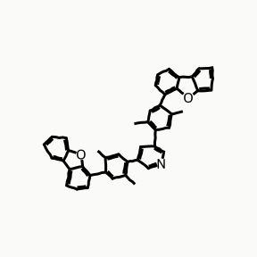 Cc1cc(-c2cccc3c2oc2ccccc23)c(C)cc1-c1cncc(-c2cc(C)c(-c3cccc4c3oc3ccccc34)cc2C)c1